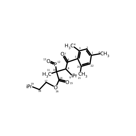 Cc1cc(C)c(C(=O)C(C(C)C)C(C)(P=O)C(=O)OCCC(C)C)c(C)c1